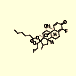 CCCCCC(=O)O[C@]1(C(=O)CF)C(C)C[C@H]2[C@@H]3CCC4=C(F)C(=O)C=C[C@]4(C)[C@@]3(Cl)[C@@H](O)C[C@@]21C